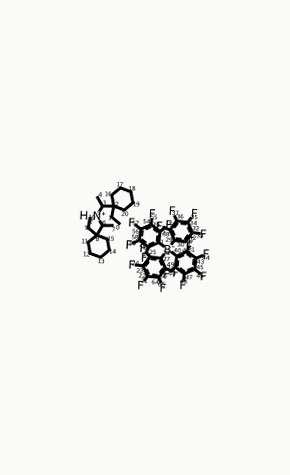 CCC1(C(C)[NH2+]C(C)C2(CC)CCCCC2)CCCCC1.Fc1c(F)c(F)c([B-](c2c(F)c(F)c(F)c(F)c2F)(c2c(F)c(F)c(F)c(F)c2F)c2c(F)c(F)c(F)c(F)c2F)c(F)c1F